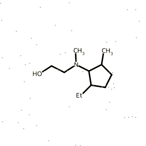 CCC1CCC(C)C1N(C)CCO